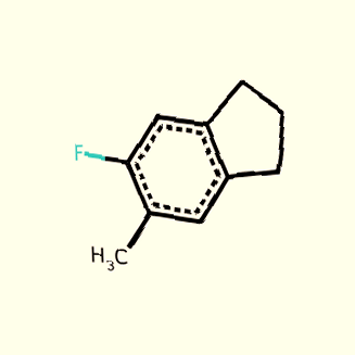 Cc1cc2c(cc1F)CCC2